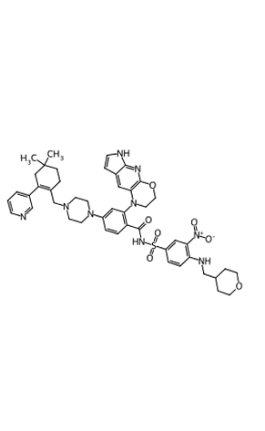 CC1(C)CCC(CN2CCN(c3ccc(C(=O)NS(=O)(=O)c4ccc(NCC5CCOCC5)c([N+](=O)[O-])c4)c(N4CCOc5nc6[nH]ccc6cc54)c3)CC2)=C(c2cccnc2)C1